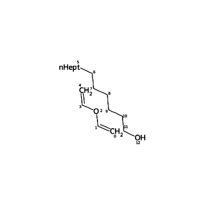 C=COC=C.CCCCCCCCCCCCCO